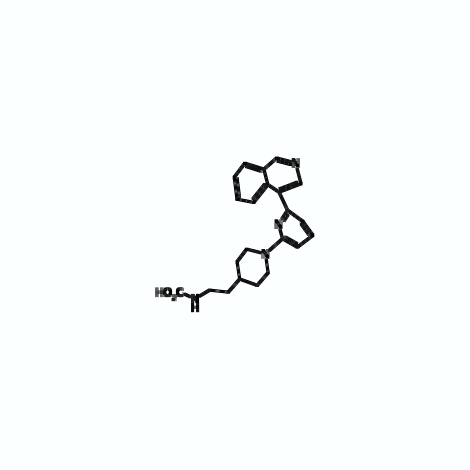 O=C(O)NCCC1CCN(c2cccc(-c3cncc4ccccc34)n2)CC1